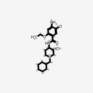 CCOc1cc(N)c(Cl)cc1C(=O)NC1CCN(CC2CCCCC2)CC1.Cl